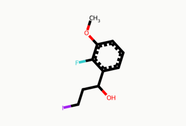 COc1cccc(C(O)CCI)c1F